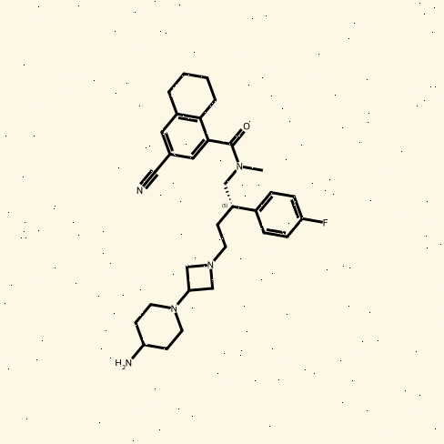 CN(C[C@@H](CCN1CC(N2CCC(N)CC2)C1)c1ccc(F)cc1)C(=O)c1cc(C#N)cc2c1CCCC2